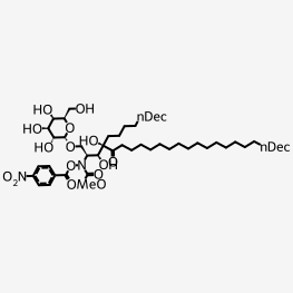 CCCCCCCCCCCCCCCCCCCCCCCCCC(=O)[C@@](O)(CCCCCCCCCCCCCC)[C@@H](O)[C@H](CO[C@H]1O[C@H](CO)[C@H](O)[C@H](O)[C@H]1O)N(OC(=O)c1ccc([N+](=O)[O-])cc1)C(=O)OC